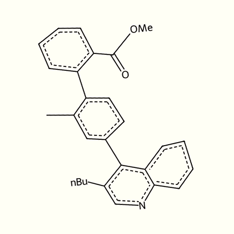 CCCCc1cnc2ccccc2c1-c1ccc(-c2ccccc2C(=O)OC)c(C)c1